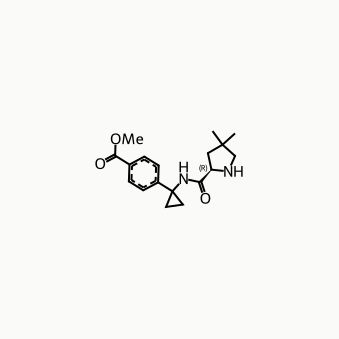 COC(=O)c1ccc(C2(NC(=O)[C@H]3CC(C)(C)CN3)CC2)cc1